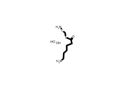 Cl.Cl.NCCCCCC(=O)SCCN